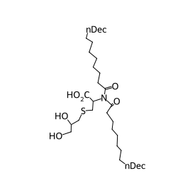 CCCCCCCCCCCCCCCCCC(=O)N(C(=O)CCCCCCCCCCCCCCCCC)C(CSCC(O)CO)C(=O)O